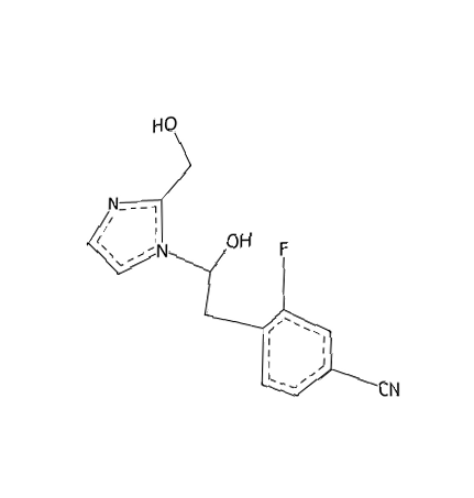 N#Cc1ccc(CC(O)n2ccnc2CO)c(F)c1